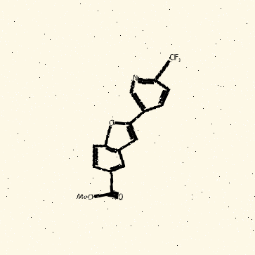 COC(=O)c1ccc2oc(-c3ccc(C(F)(F)F)nc3)cc2c1